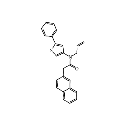 C=CCN(C(=O)Cc1ccc2ccccc2c1)c1csc(-c2ccccc2)c1